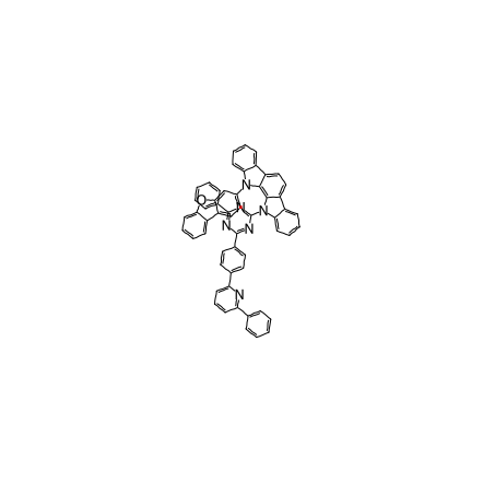 c1ccc(-c2cccc(-c3ccc(-c4nc(-c5ccccc5)nc(-n5c6ccccc6c6ccc7c8ccccc8n(-c8ccc9c(c8)oc8ccccc89)c7c65)n4)cc3)n2)cc1